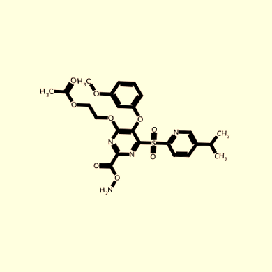 COc1cccc(Oc2c(OCCOC(C)=O)nc(C(=O)ON)nc2S(=O)(=O)c2ccc(C(C)C)cn2)c1